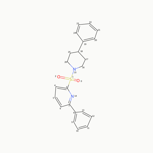 O=S(=O)(c1cccc(-c2ccccc2)n1)N1CCC(c2ccccc2)CC1